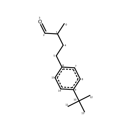 CC(C=O)CCc1ccc(C(C)(C)C)cc1